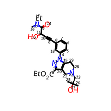 CCOC(=O)c1nn(-c2cccc(C#CC(O)C(=O)N(C)CC)c2)c2c1CN(CC(C)(C)O)CC2